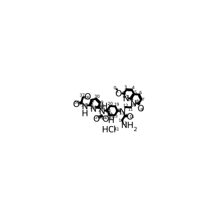 COc1ccc2ccc(=O)n(CCN(C(=O)CN)[C@H]3CC[C@H]4[C@H](C3)OC(=O)N4c3ccc4c(n3)NC(=O)CO4)c2n1.Cl